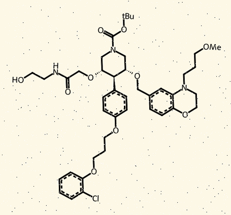 COCCCN1CCOc2ccc(CO[C@H]3CN(C(=O)OC(C)(C)C)C[C@@H](OCC(=O)NCCO)[C@@H]3c3ccc(OCCCOc4ccccc4Cl)cc3)cc21